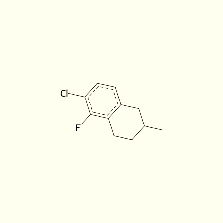 CC1CCc2c(ccc(Cl)c2F)C1